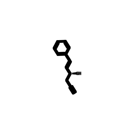 C#CC[C@@H](O)/C=C/c1ccccc1